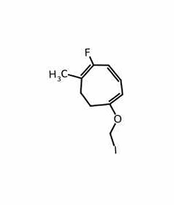 C/C1=C(F)/C=C\C=C(\OCI)CC1